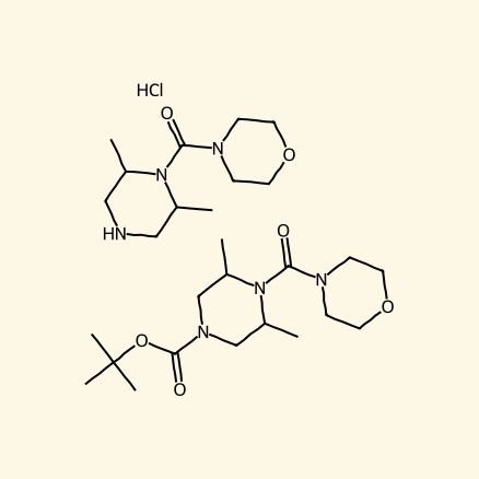 CC1CN(C(=O)OC(C)(C)C)CC(C)N1C(=O)N1CCOCC1.CC1CNCC(C)N1C(=O)N1CCOCC1.Cl